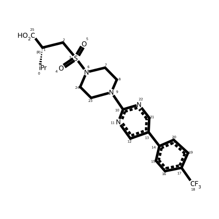 CC(C)[C@@H](CS(=O)(=O)N1CCN(c2ncc(-c3ccc(C(F)(F)F)cc3)cn2)CC1)C(=O)O